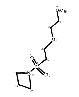 COCCOCCS(=O)(=O)N1CCC1